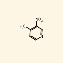 O=[N+]([O-])c1cn[c]cc1C(F)(F)F